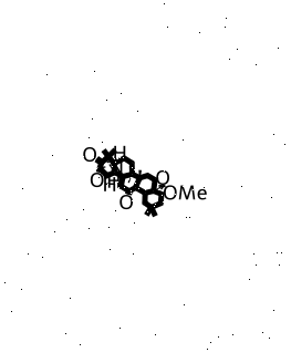 COC(=O)[C@]12CCC(C)(C)CC1C1C(=O)C[C@@H]3[C@@]4(C)[C@H]5O[C@@]5(C#N)C(=O)C(C)(C)[C@@H]4CC[C@@]3(C)[C@]1(C)CC2